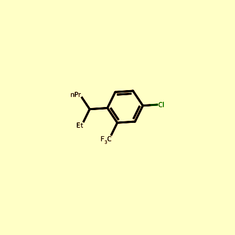 CCCC(CC)c1ccc(Cl)cc1C(F)(F)F